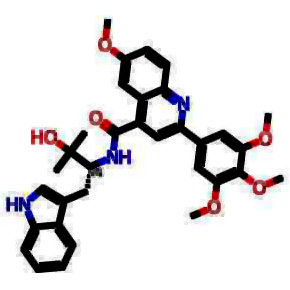 COc1ccc2nc(-c3cc(OC)c(OC)c(OC)c3)cc(C(=O)N[C@H](Cc3c[nH]c4ccccc34)C(C)(C)O)c2c1